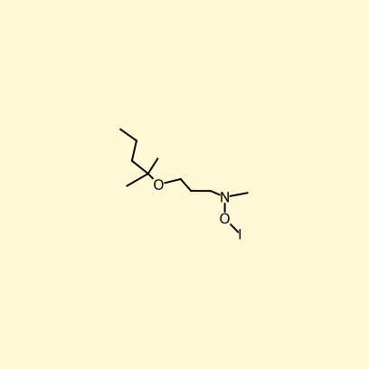 CCCC(C)(C)OCCCN(C)OI